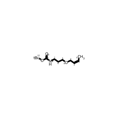 C/C=C\COCCCNC(=O)OC(C)(C)C